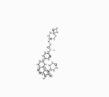 C[C@@H](OCCN1CCC2(CCO2)CC1)c1ccc(-c2ccc3nnc4c(c3c2)n(C2CCOCC2)c(=O)n4C)cn1